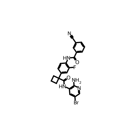 N#Cc1cccc(C(=O)Nc2ccc(C3(C(=O)Nc4cc(Br)cnc4N)CCC3)cc2F)c1